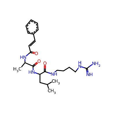 CC(C)CC(NC(=O)C(C)NC(=O)/C=C/c1ccccc1)C(=O)NCCCCNC(=N)N